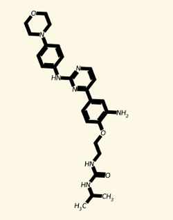 CC(C)NC(=O)NCCOc1ccc(-c2ccnc(Nc3ccc(N4CCOCC4)cc3)n2)cc1N